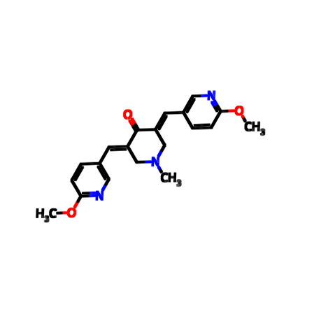 COc1ccc(/C=C2\CN(C)C/C(=C\c3ccc(OC)nc3)C2=O)cn1